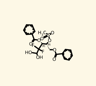 CS(=O)(=O)O[C@H](COC(=O)c1ccccc1)[C@@H](OC(=O)c1ccccc1)C(F)(F)C(O)O